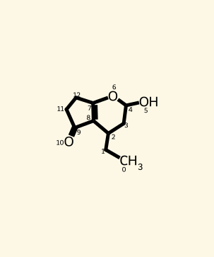 CCC1CC(O)OC2=C1C(=O)CC2